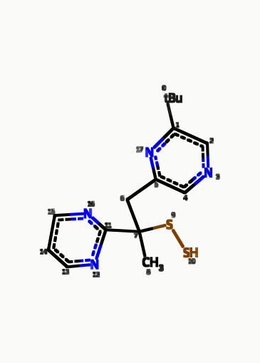 CC(C)(C)c1cncc(CC(C)(SS)c2ncccn2)n1